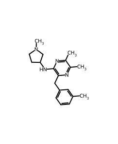 Cc1cccc(Cc2nc(C)c(C)nc2NC2CCN(C)C2)c1